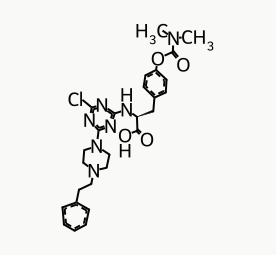 CN(C)C(=O)Oc1ccc(C[C@H](Nc2nc(Cl)nc(N3CCN(CCc4ccccc4)CC3)n2)C(=O)O)cc1